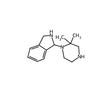 CC1(C)CNCCN1[C]1NCc2ccccc21